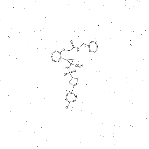 O=C(COc1ccccc1C1CC1(NS(=O)(=O)C1CC=C(c2ccc(Cl)cc2)S1)C(=O)O)NCc1ccccc1